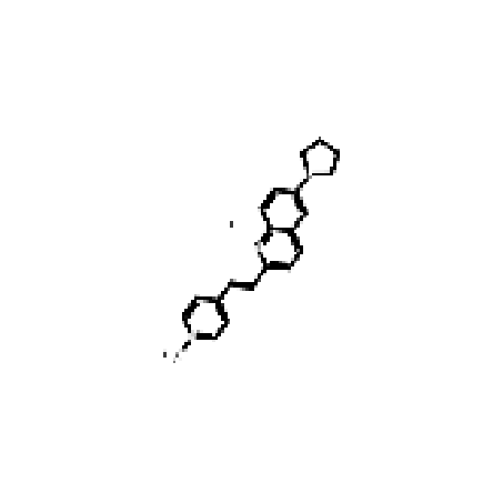 C[n+]1ccc(C=Cc2ccc3cc(N4CCCC4)ccc3n2)cc1.[I-]